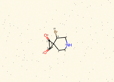 O=C1C(=O)C12CCNCC2Br